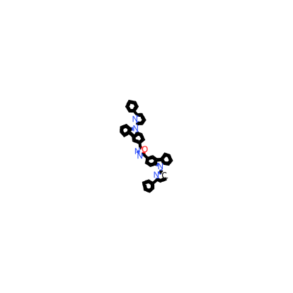 c1ccc(-c2cccc(-n3c4ccccc4c4cc(-c5nnc(-c6ccc7c(c6)c6ccccc6n7-c6cccc(-c7ccccc7)n6)o5)ccc43)n2)cc1